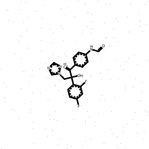 C=C(c1ccc(NC=O)cc1)C(O)(Cn1cncn1)c1ccc(F)cc1F